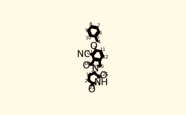 N#Cc1c(OCc2ccccc2)ccc2c1C(=O)N(C1CCC(=O)NC1=O)C2